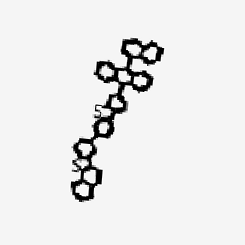 c1ccc2c(-c3c4ccccc4c(-c4ccc5c(c4)sc4cc(-c6ccc7sc8c9ccccc9ccc8c7c6)ccc45)c4ccccc34)cccc2c1